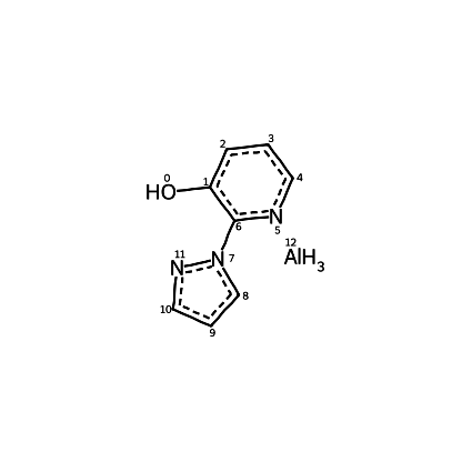 Oc1cccnc1-n1cccn1.[AlH3]